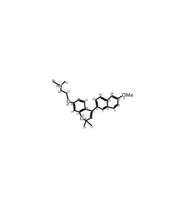 COc1ccc2cc(C3=CC(C)(C)Oc4cc(OCCN(C)C)ccc43)ccc2c1